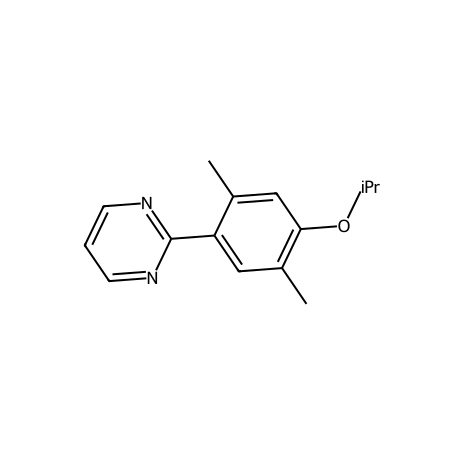 Cc1cc(-c2ncccn2)c(C)cc1OC(C)C